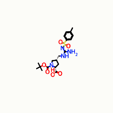 Cc1ccc(S(=O)(=O)/N=C(\N)NC[C@@H]2C[C@H](C(=O)O)N(C(=O)OC(C)(C)C)C2)cc1